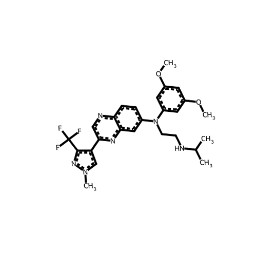 COc1cc(OC)cc(N(CCNC(C)C)c2ccc3ncc(-c4cn(C)nc4C(F)(F)F)nc3c2)c1